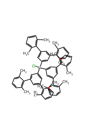 Cc1cccc(C)c1-c1cc(-c2c(C)cccc2C)cc([Si](Cl)(c2cc(-c3c(C)cccc3C)cc(-c3c(C)cccc3C)c2)c2cc(-c3c(C)cccc3C)cc(-c3c(C)cccc3C)c2)c1